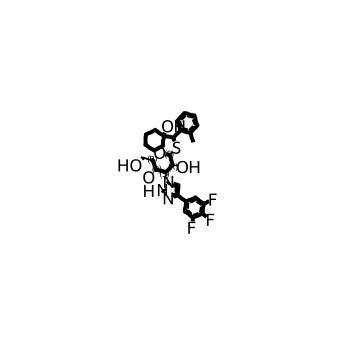 Cc1ccccc1C(S[C@@H]1O[C@H](CO)[C@H](O)[C@H](n2cc(-c3cc(F)c(F)c(F)c3)nn2)[C@H]1O)C1(O)CCCCC1